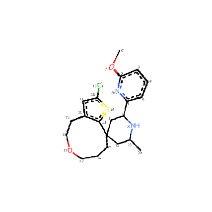 COc1cccc(C2CC3(CCCOCCc4cc(Cl)sc43)CC(C)N2)n1